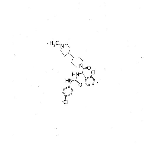 CN1CCC(C2CCN(C(=O)[C@H](NC(=O)Nc3ccc(Cl)cc3)c3ccccc3Cl)CC2)CC1